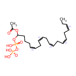 CC/C=C\C/C=C\C/C=C\C/C=C\C/C=C\CCCC(OC(C)=O)OP(=O)(O)OP(=O)(O)O